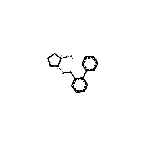 N[C@@H]1CCC[C@H]1OCc1ccccc1-c1ccccc1